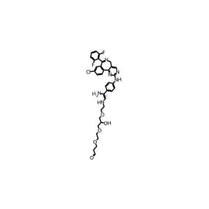 N/C(=C\NCCOCC(O)COCCOCCC=O)c1ccc(Nc2ncc3c(n2)-c2ccc(Cl)cc2C(c2c(F)cccc2F)=NC3)cc1